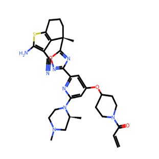 C=CC(=O)N1CCC(Oc2cc(-c3noc([C@@]4(C)CCCc5sc(N)c(C#N)c54)n3)nc(N3CCN(C)C[C@@H]3C)c2)CC1